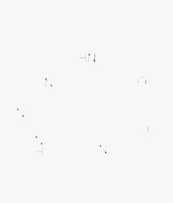 c1coc(C2(c3c[nH]nn3)NCCO2)n1